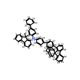 CC1(C)c2ccccc2-c2cccc(N(c3ccc(-c4ccccc4)cc3)c3ccc(-c4ccc(-c5cccc6c5C5(c7ccccc7-6)C6CC7CC(C6)CC5C7)cc4)cc3)c21